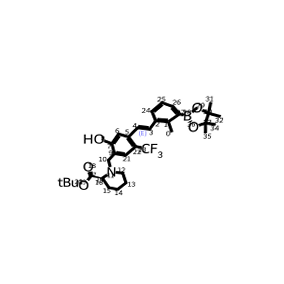 Cc1c(/C=C/c2cc(O)c(CN3CCCC[C@H]3C(=O)OC(C)(C)C)cc2C(F)(F)F)cccc1B1OC(C)(C)C(C)(C)O1